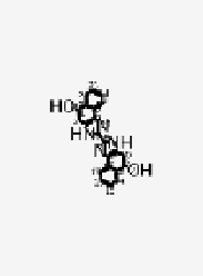 Oc1cc2[nH]c(-c3nc4c(cc(O)c5ccccc54)[nH]3)nc2c2ccccc12